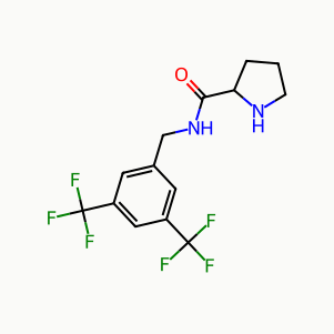 O=C(NCc1cc(C(F)(F)F)cc(C(F)(F)F)c1)C1CCCN1